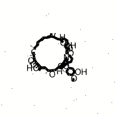 CO[C@@H]1C[C@H](C[C@H]2C3CCCN4C(=O)C(=O)[C@]5(O)O[C@@H](CC[C@H]5C)C[C@H](C)/C(C)=C/C=C/C=C/[C@@H](C)C[C@@H](C)C(=O)[C@H](OC)[C@H](O)/C(C)=C/[C@@H](C)C(=O)C[C@@H]2OC(=O)[C@H]34)CC[C@H]1O